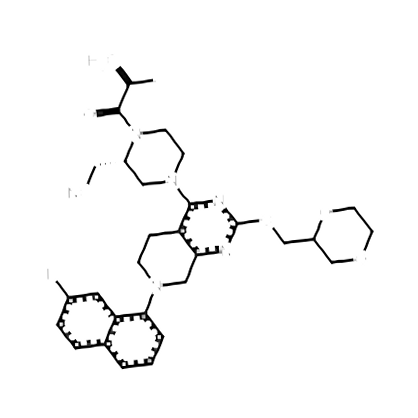 C=C(F)C(=O)N1CCN(c2nc(OCC3COCCO3)nc3c2CCN(c2cccc4ccc(F)cc24)C3)C[C@@H]1CC#N